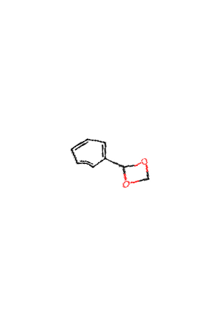 c1ccc([C]2OCO2)cc1